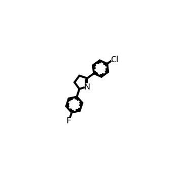 Fc1ccc(C2CCC(c3ccc(Cl)cc3)=N2)cc1